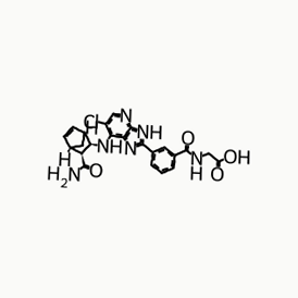 NC(=O)[C@@H]1[C@H](Nc2c(Cl)cnc3[nH]c(-c4cccc(C(=O)NCC(=O)O)c4)nc23)[C@H]2C=C[C@@H]1C2